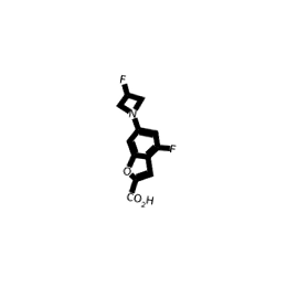 O=C(O)c1cc2c(F)cc(N3CC(F)C3)cc2o1